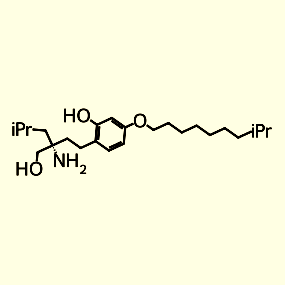 CC(C)CCCCCCCOc1ccc(CC[C@@](N)(CO)CC(C)C)c(O)c1